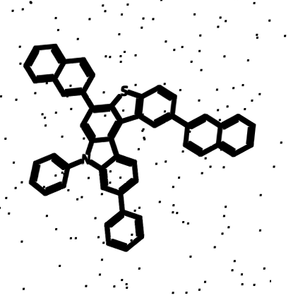 c1ccc(-c2ccc3c4c5c(sc6ccc(-c7ccc8ccccc8c7)cc65)c(-c5ccc6ccccc6c5)cc4n(-c4ccccc4)c3c2)cc1